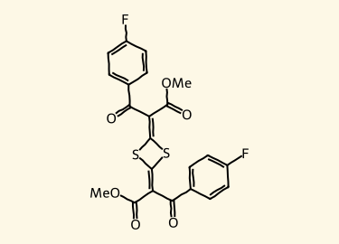 COC(=O)C(C(=O)c1ccc(F)cc1)=c1sc(=C(C(=O)OC)C(=O)c2ccc(F)cc2)s1